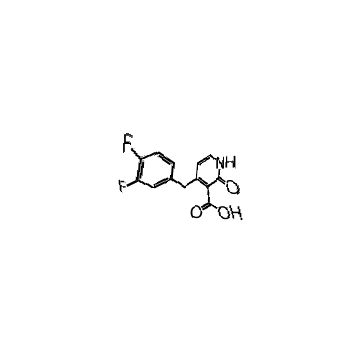 O=C(O)c1c(Cc2ccc(F)c(F)c2)cc[nH]c1=O